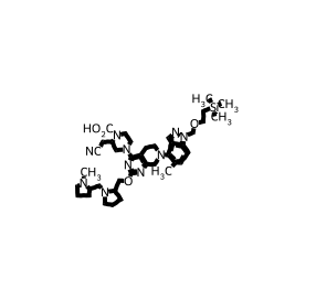 Cc1ccc2c(cnn2COCC[Si](C)(C)C)c1N1CCc2c(nc(OCC3CCCN3CC3CCCN3C)nc2N2CCN(C(=O)O)C(CC#N)C2)C1